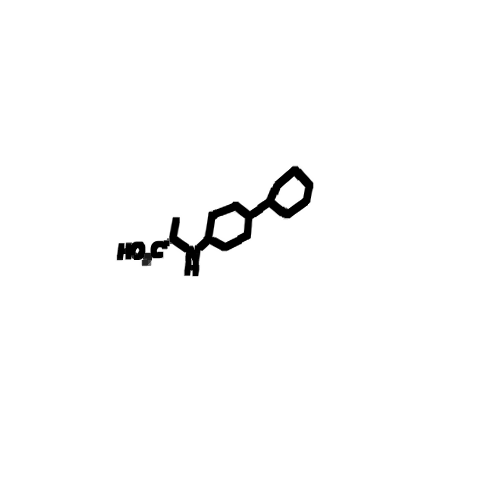 C[C@H](NC1CCC(C2CCCCC2)CC1)C(=O)O